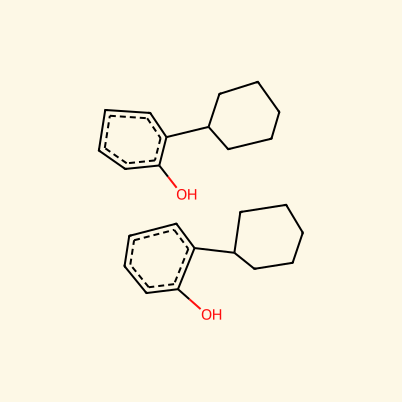 Oc1ccccc1C1CCCCC1.Oc1ccccc1C1CCCCC1